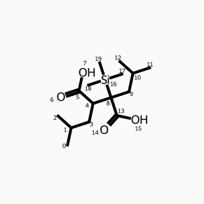 CC(C)CC(C(=O)O)C(CC(C)C)(C(=O)O)[Si](C)(C)C